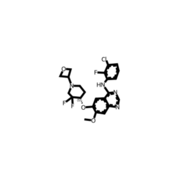 COc1cc2ncnc(Nc3cccc(Cl)c3F)c2cc1O[C@H]1CCN(C2COC2)CC1(F)F